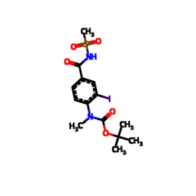 CN(C(=O)OC(C)(C)C)c1ccc(C(=O)NS(C)(=O)=O)cc1I